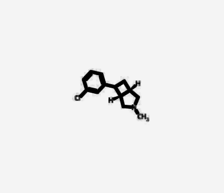 CN1C[C@H]2CC(c3cccc(Cl)c3)[C@H]2C1